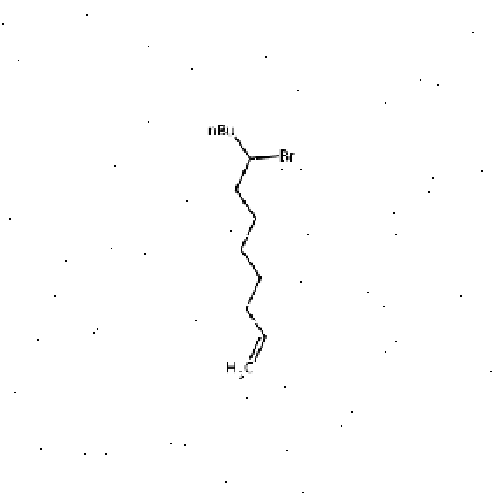 C=CCCCCCC(Br)CCCC